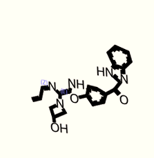 C=C/C=N\C(=C(/N)Oc1ccc(C(=O)c2nc3ccccc3[nH]2)cc1)N1CC(O)C1